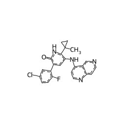 CC1(c2[nH]c(=O)c(-c3cc(Cl)ccc3F)cc2Nc2ccnc3ccncc23)CC1